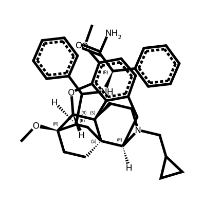 COc1ccc2c3c1O[C@H]1[C@@]4(OC)CC[C@@]5(C[C@@H]4C(N[C@@H](C(N)=O)c4ccccc4)c4ccccc4)[C@@H](C2)N(CC2CC2)CC[C@]315